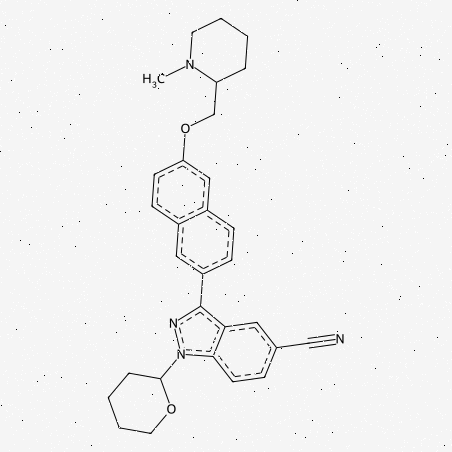 CN1CCCCC1COc1ccc2cc(-c3nn(C4CCCCO4)c4ccc(C#N)cc34)ccc2c1